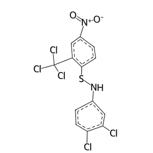 O=[N+]([O-])c1ccc(SNc2ccc(Cl)c(Cl)c2)c(C(Cl)(Cl)Cl)c1